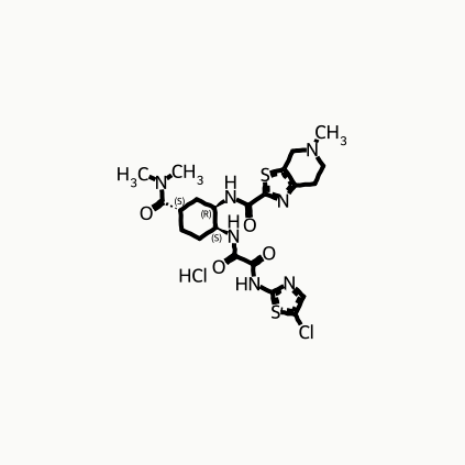 CN1CCc2nc(C(=O)N[C@@H]3C[C@@H](C(=O)N(C)C)CC[C@@H]3NC(=O)C(=O)Nc3ncc(Cl)s3)sc2C1.Cl